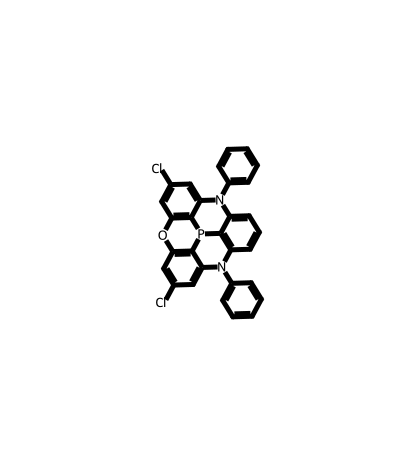 Clc1cc2c3c(c1)N(c1ccccc1)c1cccc4c1P3c1c(cc(Cl)cc1N4c1ccccc1)O2